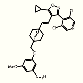 COc1cc(OCC23CCC(C=Cc4c(-c5c(Cl)cncc5Cl)noc4C4CC4)(CC2)OC3)cc(C(=O)O)c1